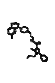 CCCn1c(-c2ccccc2)cc(C(=O)NCCCN2CCN(c3cccc4ccc(C)nc34)CC2)c1C